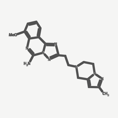 COc1cccc2c1nc(N)n1nc(CCN3CCn4nc(C)cc4C3)nc21